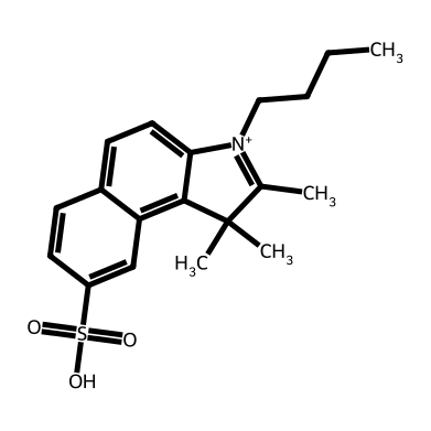 CCCC[N+]1=C(C)C(C)(C)c2c1ccc1ccc(S(=O)(=O)O)cc21